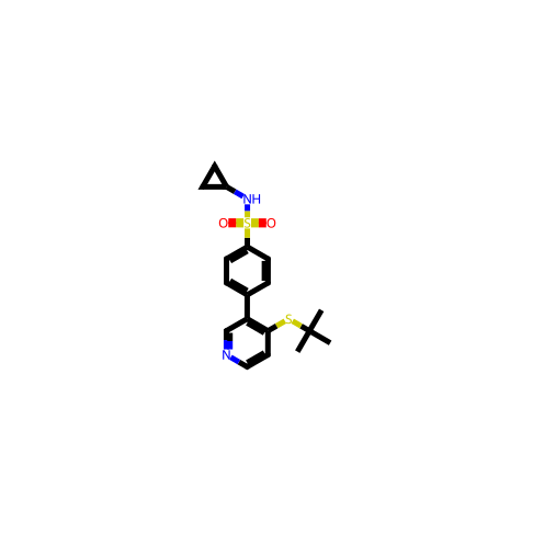 CC(C)(C)Sc1ccncc1-c1ccc(S(=O)(=O)NC2CC2)cc1